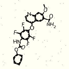 COc1cc2nccc(Oc3c(F)c(F)c(NC(=O)Oc4ccccc4)c(F)c3F)c2cc1C(N)=O